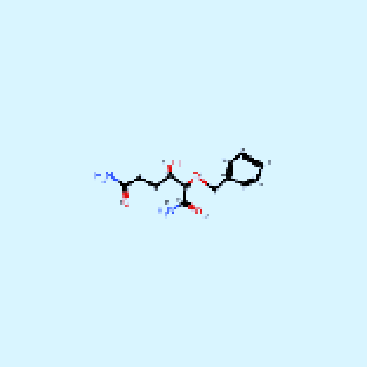 NC(=O)CCC(O)C(OCc1ccccc1)C(N)=O